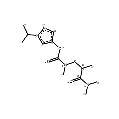 CC(C)n1cc(OC(=O)N(C)SN(C)C(=O)N(C)C)cn1